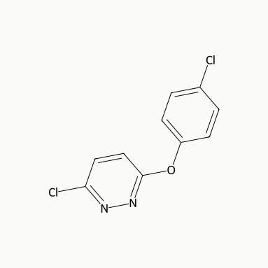 Clc1ccc(Oc2ccc(Cl)nn2)cc1